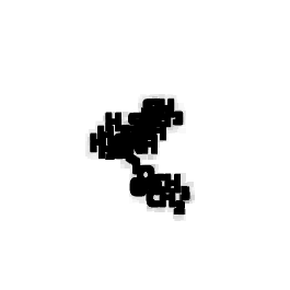 C=C(C)C(=O)OCCC[SiH](C)N[SiH2]N[SiH2]N[SiH3]